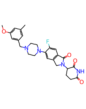 COc1cc(C)cc(CN2CCN(c3cc4c(cc3F)C(=O)N(C3CCC(=O)NC3=O)C4)CC2)c1